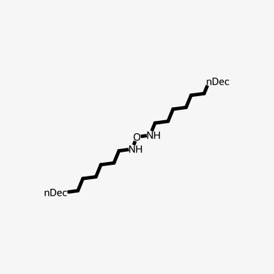 CCCCCCCCCCCCCCCCNONCCCCCCCCCCCCCCCC